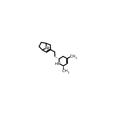 CC1=C[C@@H](C)N[C@H](CCC2=CC3CCC(C2)N3)C1